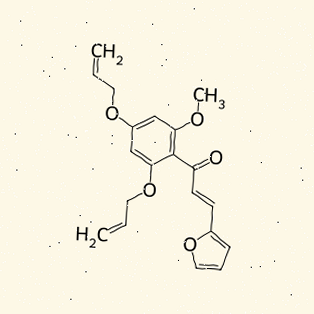 C=CCOc1cc(OC)c(C(=O)C=Cc2ccco2)c(OCC=C)c1